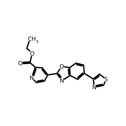 CCOC(=O)c1cc(-c2nc3cc(-c4cscn4)ccc3o2)ccn1